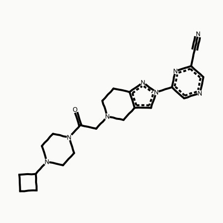 N#Cc1cncc(-n2cc3c(n2)CCN(CC(=O)N2CCN(C4CCC4)CC2)C3)n1